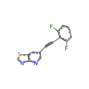 Fc1cccc(F)c1C#Cc1cnc2ncsc2c1